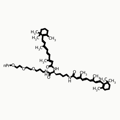 CCCOCCOCCOCCCNC(=O)[C@H](CCCCNC(=O)/C=C(C)/C=C/C=C(C)/C=C/C1=C(C)CCCC1(C)C)NC(=O)/C=C(C)/C=C/C=C(C)/C=C/C1=C(C)CCCC1(C)C